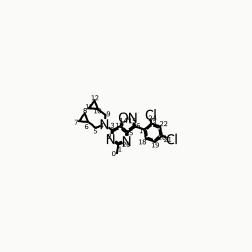 Cc1nc(N(CC2CC2)CC2CC2)c2onc(-c3ccc(Cl)cc3Cl)c2n1